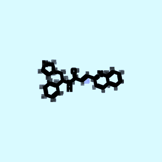 O=C(/C=C/c1ccc2ccccc2n1)NC(Cn1ccnc1)c1ccccc1